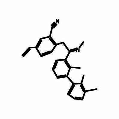 C=Cc1ccc(C/C(=N\C)c2cccc(-c3cccc(C)c3C)c2C)c(C#N)c1